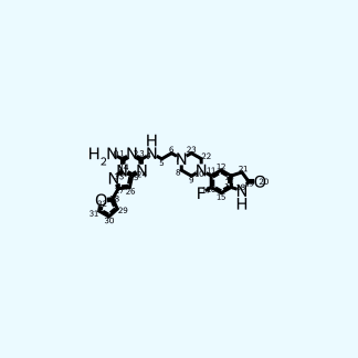 Nc1nc(NCCN2CCN(c3cc4c(cc3F)NC(=O)C4)CC2)nc2cc(-c3ccco3)nn12